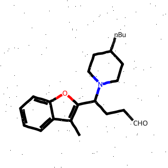 CCCCC1CCN(C(CCC=O)c2oc3ccccc3c2C)CC1